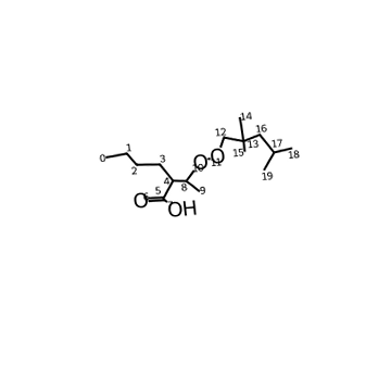 CCCCC(C(=O)O)C(C)OOCC(C)(C)CC(C)C